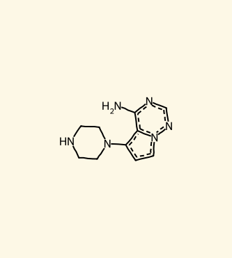 Nc1ncnn2ccc(N3CCNCC3)c12